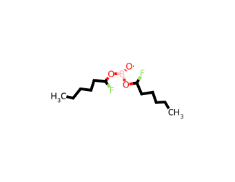 CCCCCC(F)OB([O])OC(F)CCCCC